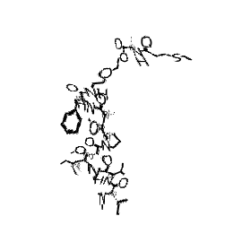 CCSCCC(=O)N[C@@H](C)C(=O)OCCOCCNC(=O)[C@H](Cc1ccccc1)NC(=O)[C@H](C)[C@@H](OC)[C@@H]1CCCN1C(=O)C[C@@H](OC)C([C@@H](C)CC)N(C)C(=O)[C@@H](NC(=O)[C@H](C(C)C)N(C)C)C(C)C